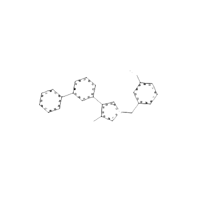 CCOC(=O)c1cn(Cc2cccc(C#N)c2)cc1-c1cccc(-c2ccccc2)c1